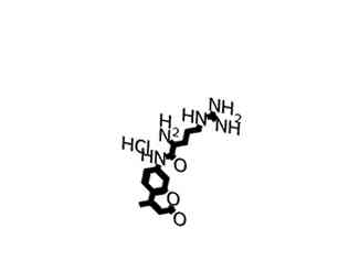 Cc1cc(=O)oc2cc(NC(=O)C(N)CCCNC(=N)N)ccc12.Cl